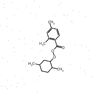 Cc1ccc(C(=O)OO[C]2CC(C)CCC2C)c(C)c1